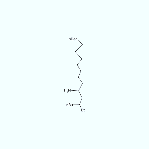 CCCCCCCCCCCCCCCCCC(N)CC(CC)CCCC